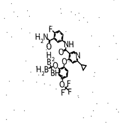 BC(B)(B)Oc1cc(OC(F)(F)F)ccc1Oc1cc(C2CC2)ncc1C(=O)Nc1ccc(F)c(C(N)=O)c1